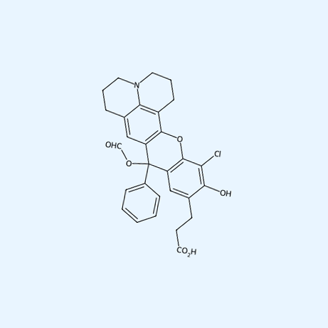 O=COC1(c2ccccc2)c2cc(CCC(=O)O)c(O)c(Cl)c2Oc2c1cc1c3c2CCCN3CCC1